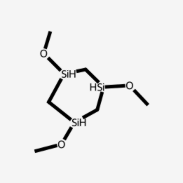 CO[SiH]1C[SiH](OC)C[SiH](OC)C1